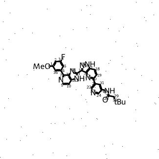 COc1cc(F)cc(-c2nccc3[nH]c(-c4n[nH]c5ccc(-c6cncc(NC(=O)CC(C)(C)C)c6)nc45)nc23)c1